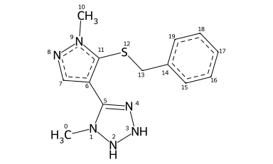 CN1NNN=C1c1cnn(C)c1SCc1ccccc1